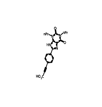 CCCn1c(=O)c2nc(-c3ccc(C#CC(=O)O)cc3)[nH]c2n(CCC)c1=O